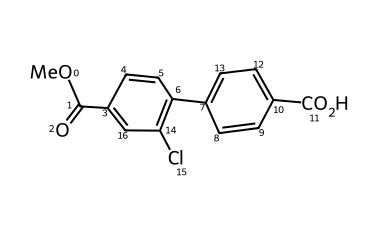 COC(=O)c1ccc(-c2ccc(C(=O)O)cc2)c(Cl)c1